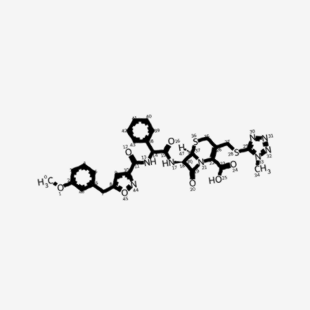 COc1cccc(Cc2cc(C(=O)NC(C(=O)N[C@@H]3C(=O)N4C(C(=O)O)=C(CSc5nnnn5C)CS[C@H]34)c3ccccc3)no2)c1